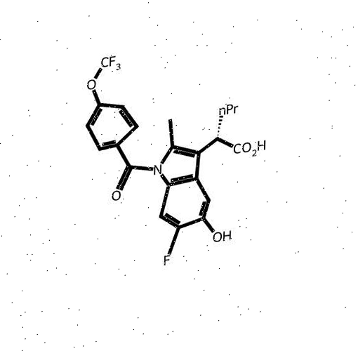 CCC[C@H](C(=O)O)c1c(C)n(C(=O)c2ccc(OC(F)(F)F)cc2)c2cc(F)c(O)cc12